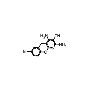 N#Cc1c(N)nc2c(c1N)Cc1cc(Br)ccc1O2